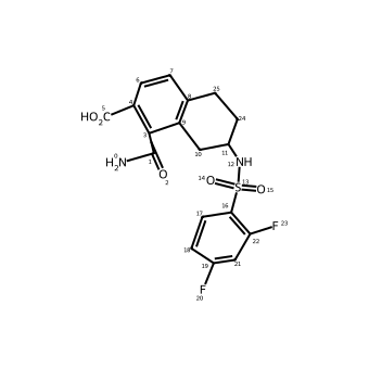 NC(=O)c1c(C(=O)O)ccc2c1CC(NS(=O)(=O)c1ccc(F)cc1F)CC2